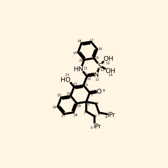 CC(C)CCC1(CCC(C)C)C(=O)C(C2=NS(O)(O)c3ccccc3N2)=C(O)c2ccccc21